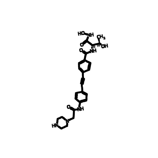 C[C@@H](O)[C@H](NC(=O)c1ccc(C#Cc2ccc(NC(=O)CN3CCNCC3)cc2)cc1)C(=O)NO